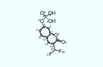 O=c1oc2cc(OP(=O)(O)O)ccc2cc1C(F)F